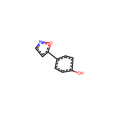 Oc1ccc(-c2ccno2)cc1